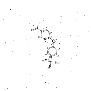 C=C(C)c1ccc(Oc2ccc(C(F)(F)F)cc2)cc1